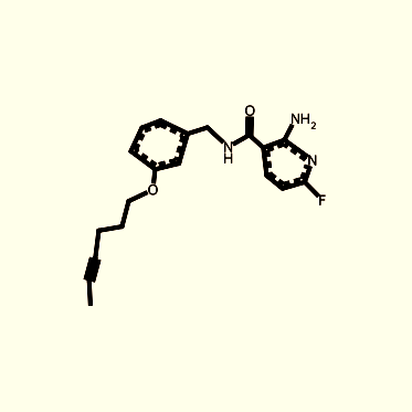 CC#CCCCOc1cccc(CNC(=O)c2ccc(F)nc2N)c1